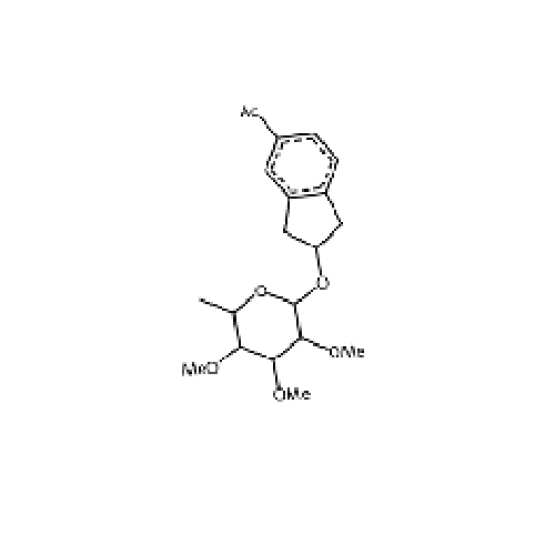 COC1C(C)OC(OC2Cc3ccc(C(C)=O)cc3C2)C(OC)C1OC